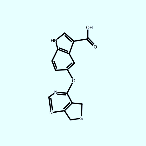 O=C(O)c1c[nH]c2ccc(Oc3ncnc4c3CSC4)cc12